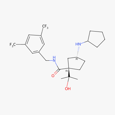 CC(C)(O)[C@]1(C(=O)NCc2cc(C(F)(F)F)cc(C(F)(F)F)c2)CC[C@@H](NC2CCCC2)C1